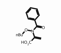 C=C(C(=O)O)N(OCCCC)C(=O)c1ccccc1